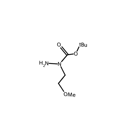 COCCN(N)C(=O)OC(C)(C)C